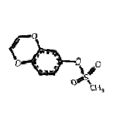 CS(=O)(=O)Oc1ccc2c(c1)OC=CO2